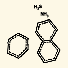 N.S.c1ccc2ccccc2c1.c1ccccc1